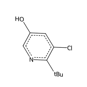 CC(C)(C)c1ncc(O)cc1Cl